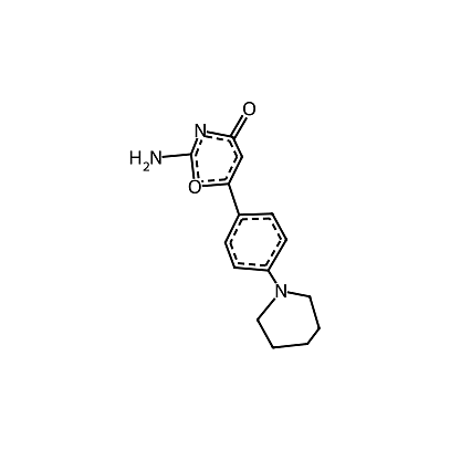 Nc1nc(=O)cc(-c2ccc(N3CCCCC3)cc2)o1